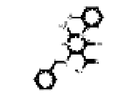 CC(=O)c1c(OCc2ccccc2)nc(C)n(-c2ccccc2Cl)c1=O